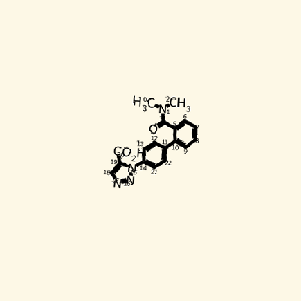 CN(C)C(=O)c1ccccc1-c1ccc(-n2nncc2C(=O)O)cc1